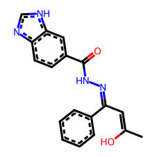 CC(O)=CC(=NNC(=O)c1ccc2nc[nH]c2c1)c1ccccc1